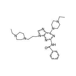 CCN1CCN(CCCn2cnc3c(N4CCN(CC)CC4)nc(NC(=O)c4ccccc4)nc32)CC1